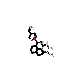 C=CC1CN2CCC1CC2[C@@H](NC(=S)NC)c1cccc2ccc(OC)cc12